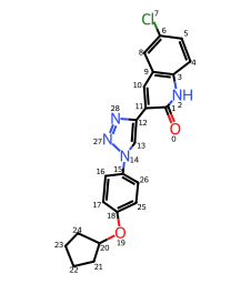 O=c1[nH]c2ccc(Cl)cc2cc1-c1cn(-c2ccc(OC3CCCC3)cc2)nn1